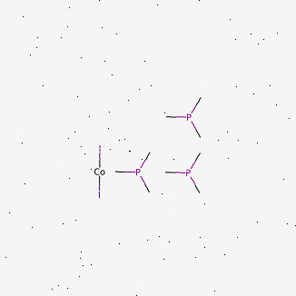 CP(C)C.CP(C)C.CP(C)C.[I][Co][I]